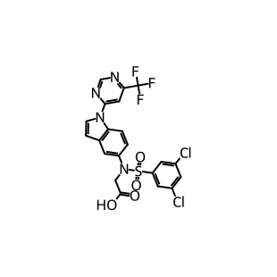 O=C(O)CN(c1ccc2c(ccn2-c2cc(C(F)(F)F)ncn2)c1)S(=O)(=O)c1cc(Cl)cc(Cl)c1